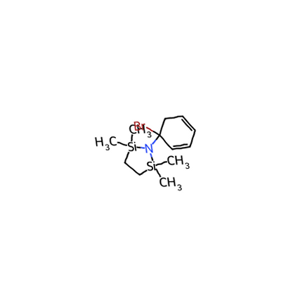 C[Si]1(C)CC[Si](C)(C)N1C1(Br)C=CC=CC1